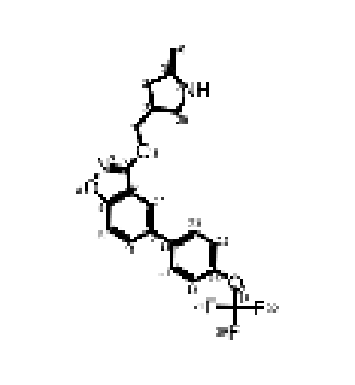 C=C1CC(COc2noc3ccc(-c4ccc(OC(F)(F)F)cc4)cc23)CN1